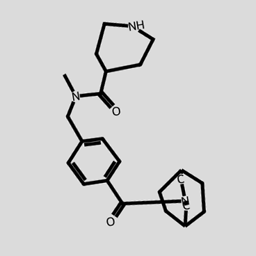 CN(Cc1ccc(C(=O)N2CC3CCC(CC3)C2)cc1)C(=O)C1CCNCC1